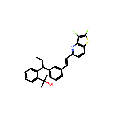 [CH2]CC(c1cccc(/C=C/c2ccc3sc(F)c(F)c3n2)c1)c1ccccc1C(C)(C)O